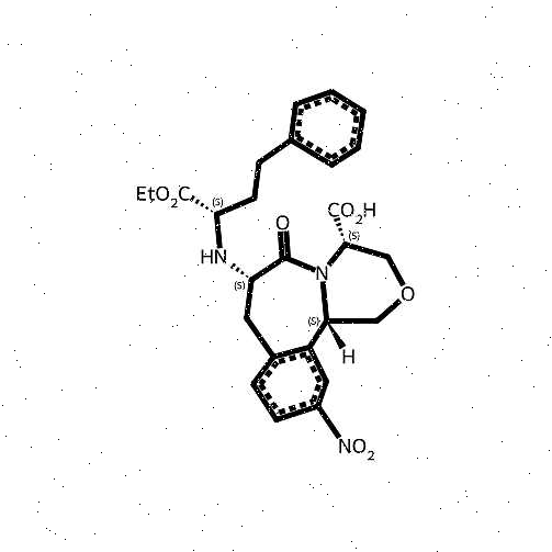 CCOC(=O)[C@H](CCc1ccccc1)N[C@H]1Cc2ccc([N+](=O)[O-])cc2[C@H]2COC[C@@H](C(=O)O)N2C1=O